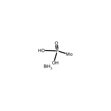 O=[P](O)(O)[Mo].[BiH3]